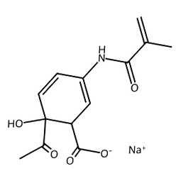 C=C(C)C(=O)NC1=CC(C(=O)[O-])C(O)(C(C)=O)C=C1.[Na+]